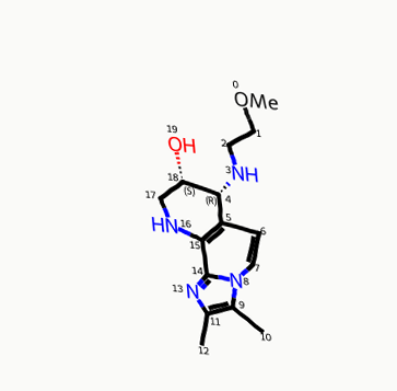 COCCN[C@@H]1c2ccn3c(C)c(C)nc3c2NC[C@@H]1O